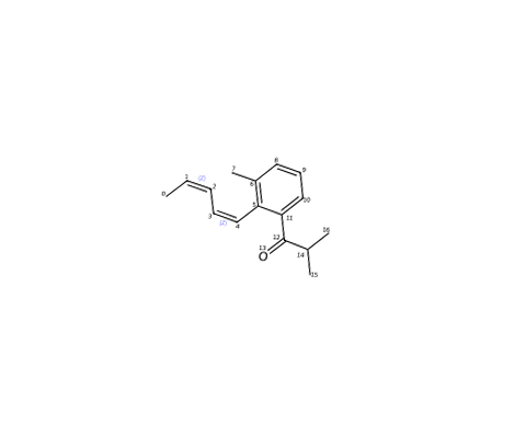 C/C=C\C=C/c1c(C)cccc1C(=O)C(C)C